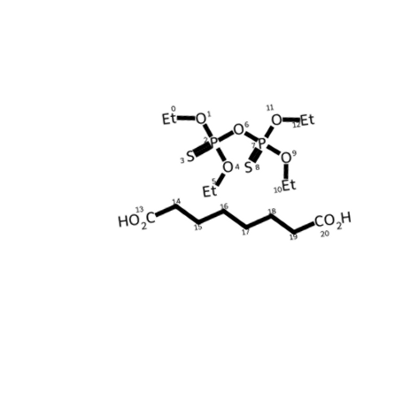 CCOP(=S)(OCC)OP(=S)(OCC)OCC.O=C(O)CCCCCCC(=O)O